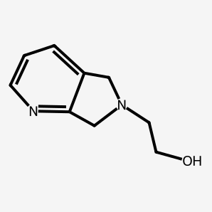 OCCN1Cc2cccnc2C1